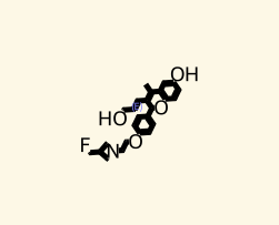 CC1=C(/C=C/CO)C(c2ccc(OCCN3CC(CF)C3)cc2)Oc2ccc(O)cc21